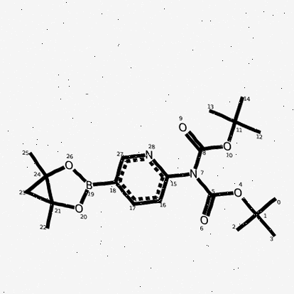 CC(C)(C)OC(=O)N(C(=O)OC(C)(C)C)c1ccc(B2OC3(C)CC3(C)O2)cn1